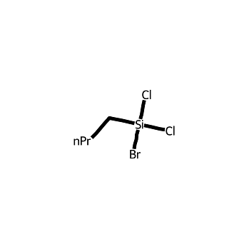 CCCC[Si](Cl)(Cl)Br